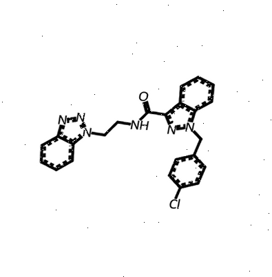 O=C(NCCn1nnc2ccccc21)c1nn(Cc2ccc(Cl)cc2)c2ccccc12